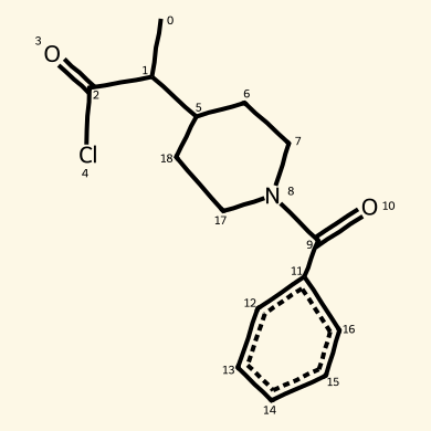 CC(C(=O)Cl)C1CCN(C(=O)c2ccccc2)CC1